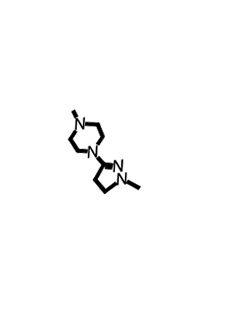 CN1CCN(C2=NN(C)CC2)CC1